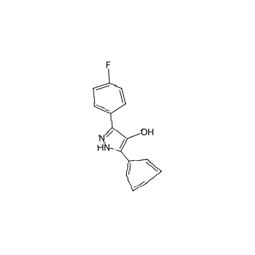 Oc1c(-c2ccc(F)cc2)n[nH]c1-c1ccccc1